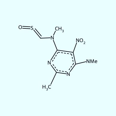 CNc1nc(C)nc(N(C)C=S=O)c1[N+](=O)[O-]